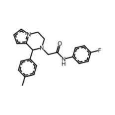 Cc1ccc(C2c3cccn3CCN2CC(=O)Nc2ccc(F)cc2)cc1